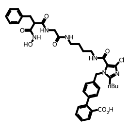 CCCCc1nc(Cl)c(C(=O)NCCCCNC(=O)CNC(=O)C(Cc2ccccc2)C(=O)NO)n1Cc1ccc(-c2ccccc2C(=O)O)cc1